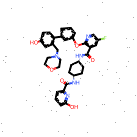 O=C(N[C@H]1CC[C@@H](NC(=O)c2cc(F)cnc2Oc2cccc(-c3ccc(O)cc3CN3CCOCC3)c2)CC1)c1cccc(O)n1